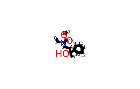 CCN(CCC(C)(O)c1ccccc1)C(=O)OC